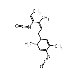 C/C=C(N=C=O)\C(C)=C/CC1C=C(C)C(N=C=O)=CC1C